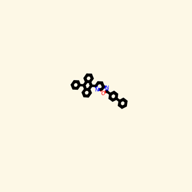 c1ccc(-c2ccc(-c3nc4ccc(-c5c6ccccc6c(-c6ccccc6)c6ccccc56)nc4o3)cc2)cc1